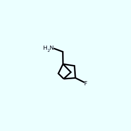 NCC12CC(F)C(C1)C2